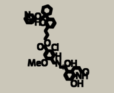 COc1cc(C(=O)OCCCc2cccc(C3(C(=O)O[C@H]4CN5CCC4CC5)CCCCC3)c2)c(Cl)cc1CNC[C@H](O)c1ccc(O)c2[nH]c(=O)ccc12